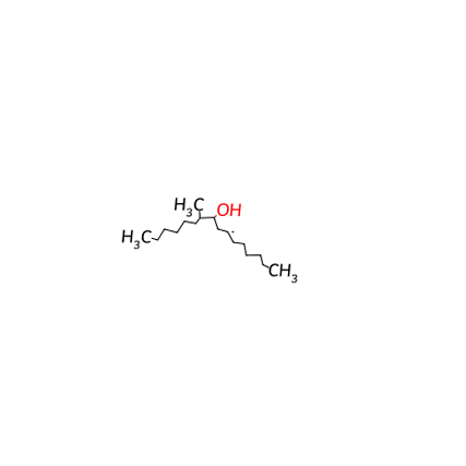 CCCCCC[CH]CC(O)C(C)CCCCCC